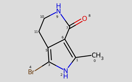 Cc1[nH]c(Br)c2c1C(=O)NCC2